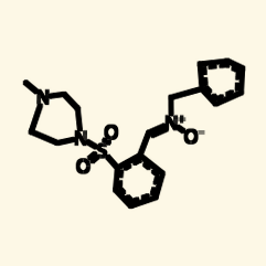 CN1CCN(S(=O)(=O)c2ccccc2C=[N+]([O-])Cc2ccccc2)CC1